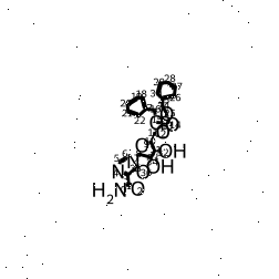 NC(=O)c1nccn([C@@H]2O[C@@H](COP(=O)(OCc3ccccc3)OCc3ccccc3)[C@@H](O)[C@@H]2O)c1=O